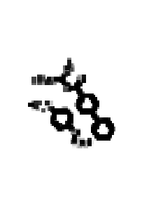 CCCCCCC(C)OC(=O)c1ccc(-c2ccccc2)cc1.CCCCCCCCOc1ccc(C(=O)O)cc1